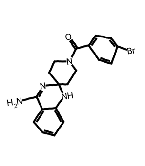 NC1=NC2(CCN(C(=O)c3ccc(Br)cc3)CC2)Nc2ccccc21